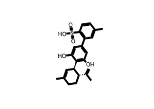 C=C(C)[C@@H]1CCC(C)=C[C@H]1c1c(O)cc(-c2cc(C)ccc2S(=O)(=O)O)cc1O